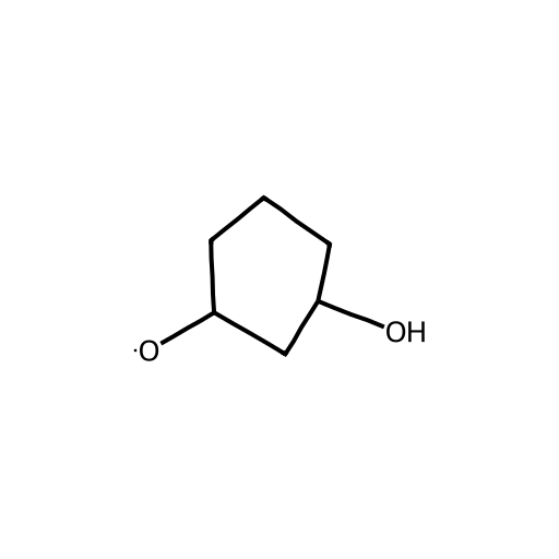 [O]C1CCCC(O)C1